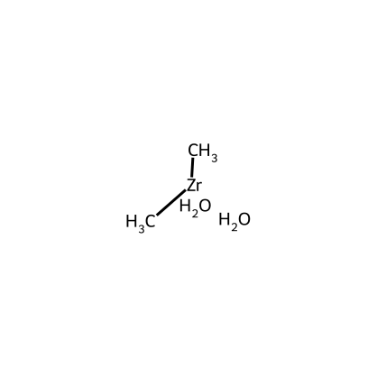 O.O.[CH3][Zr][CH3]